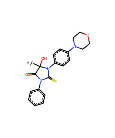 CC1(O)C(=O)N(c2ccccc2)C(=S)N1c1ccc(N2CCOCC2)cc1